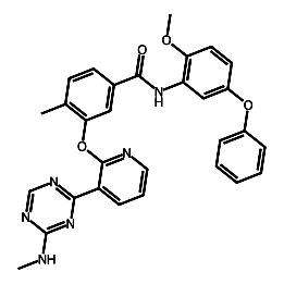 CNc1ncnc(-c2cccnc2Oc2cc(C(=O)Nc3cc(Oc4ccccc4)ccc3OC)ccc2C)n1